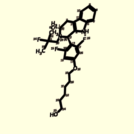 C[C@@H]1Cc2c([nH]c3ccccc23)[C@@H](c2c(F)cc(OCCCCCCO)cc2F)N1CC(C)(C)F